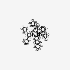 c1ccc(-c2cc(-c3ccccc3)cc(N3c4cc5cc6ccccc6cc5cc4B4c5c3cc3c(oc6ccccc63)c5-c3cccc5c6ccccc6n4c35)c2)cc1